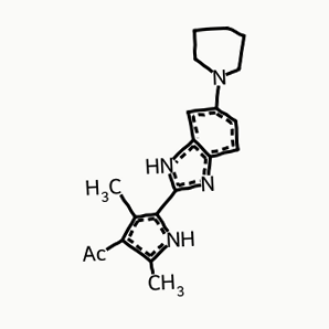 CC(=O)c1c(C)[nH]c(-c2nc3ccc(N4CCCCC4)cc3[nH]2)c1C